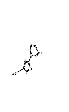 CC(C)c1coc(-c2ccccc2)n1